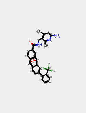 Cc1cc(N)nc(C)c1CNC(=O)c1ccc2c(c1)c1oc2c2ccc(-c3ccccc3C(F)(F)F)cc21